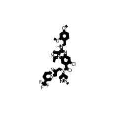 COc1ccc(CNc2nc3cc(Cl)c(C(=O)N(Cc4cn5cc(C(F)(F)F)ccc5n4)c4cnn(C)c4)cc3n3c(C)ncc23)c(OC)c1